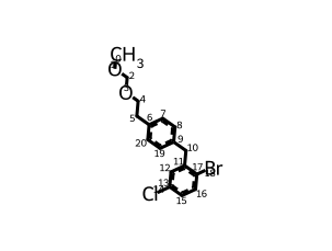 COCOCCc1ccc(Cc2cc(Cl)ccc2Br)cc1